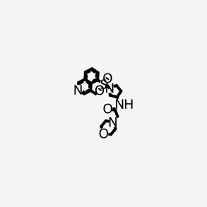 Cc1cncc2cccc(S(=O)(=O)N3CC[C@@H](NC(=O)CN4CCOCC4)C3)c12